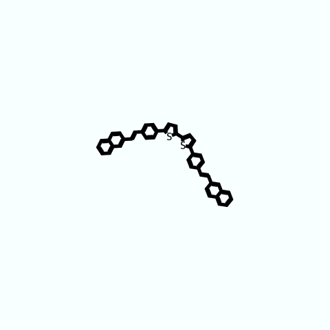 C(=C\c1ccc2ccccc2c1)/c1ccc(-c2ccc(-c3ccc(-c4ccc(/C=C/c5ccc6ccccc6c5)cc4)s3)s2)cc1